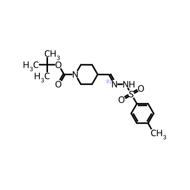 Cc1ccc(S(=O)(=O)N/N=C/C2CCN(C(=O)OC(C)(C)C)CC2)cc1